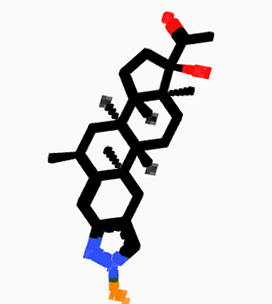 CC(=O)[C@@]1(O)CC[C@H]2[C@@H]3C[C@H](C)C4=Cc5nn(P)cc5C[C@]4(C)[C@H]3CC[C@@]21C